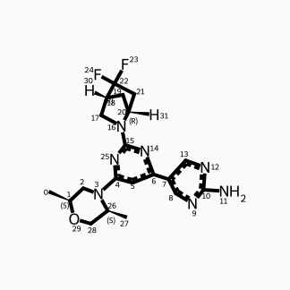 C[C@H]1CN(c2cc(-c3cnc(N)nc3)nc(N3C[C@H]4C[C@@H]3CC4(F)F)n2)[C@@H](C)CO1